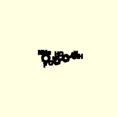 CNC1CCC[C@@H](F)[C@@H](Oc2ccc(-c3ccc(-c4cn[nH]c4)cc3O)nn2)C1